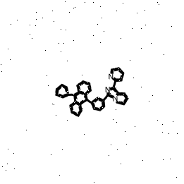 c1ccc(-c2c3ccccc3c(-c3cccc(-c4nc(-c5ccccn5)c5ccccn45)c3)c3ccccc23)cc1